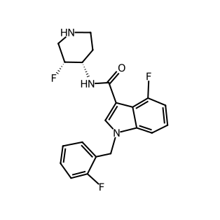 O=C(N[C@H]1CCNC[C@H]1F)c1cn(Cc2ccccc2F)c2cccc(F)c12